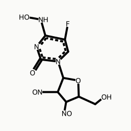 O=NC1C(CO)OC(n2cc(F)c(NO)nc2=O)C1N=O